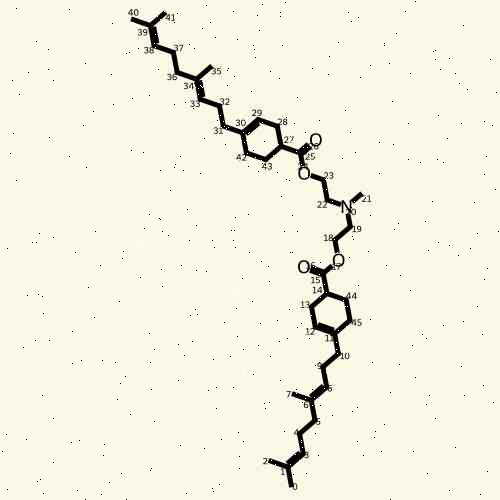 CC(C)=CCC/C(C)=C/CCC1=CCC(C(=O)OCCN(C)CCOC(=O)C2CC=C(CC/C=C(\C)CCC=C(C)C)CC2)CC1